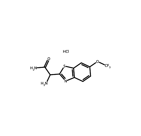 Cl.NC(=O)C(N)c1nc2ccc(OC(F)(F)F)cc2s1